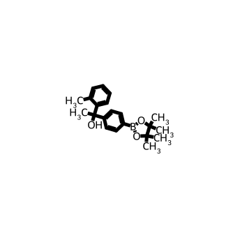 Cc1ccccc1C(C)(O)c1ccc(B2OC(C)(C)C(C)(C)O2)cc1